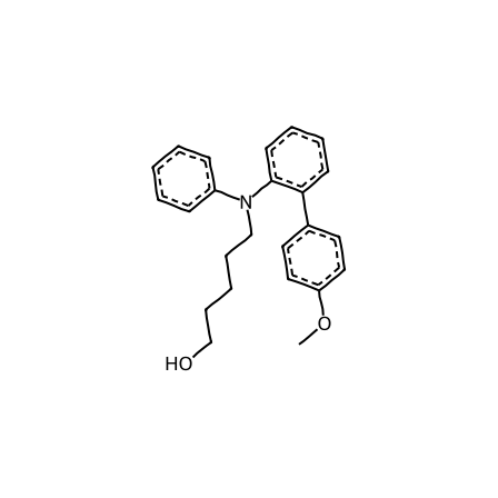 COc1ccc(-c2ccccc2N(CCCCCO)c2ccccc2)cc1